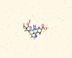 CCOc1nc(C(Nc2cccc(C(=O)O)c2)c2cccnc2)ccc1OC